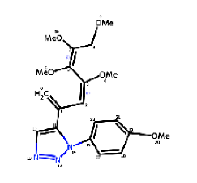 C=C(/C=C(OC)\C(OC)=C(/COC)OC)c1cnnn1-c1ccc(OC)cc1